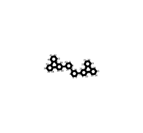 c1cc(-c2cccc(-c3ccc4c5ccccc5c5ccccc5c4c3)c2)cc(-c2ccc3c4ccccc4c4ccccc4c3c2)c1